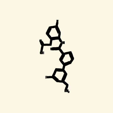 NCc1cc(F)cc(-c2cccc(C(=O)Nc3cc(F)ccc3CC(=O)O)c2)c1